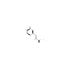 NC(Cc1ccc(O)c(O)c1)C(=O)OO